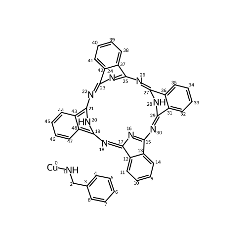 [Cu][NH]Cc1ccccc1.c1ccc2c(c1)-c1nc-2nc2[nH]c(nc3nc(nc4[nH]c(n1)c1ccccc41)-c1ccccc1-3)c1ccccc21